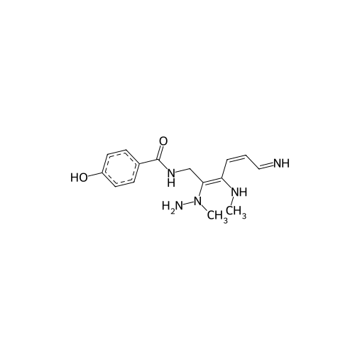 CNC(/C=C\C=N)=C(/CNC(=O)c1ccc(O)cc1)N(C)N